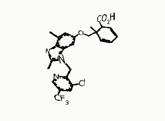 Cc1cc(OCC2(C)C=CC=CC2C(=O)O)cc2c1nc(C)n2Cc1ncc(C(F)(F)F)cc1Cl